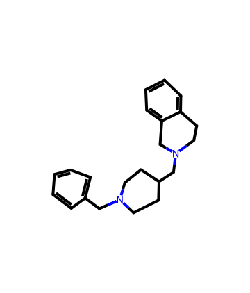 c1ccc(CN2CCC(CN3CCc4ccccc4C3)CC2)cc1